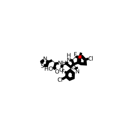 CC(C)(C)C[C@H]1N[C@H](C(=O)N[C@@H](Cc2cscn2)C(=O)O)[C@@H](c2cccc(Cl)c2F)[C@]1(C#N)c1ccc(Cl)cc1F